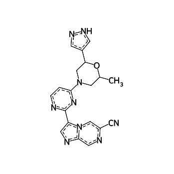 CC1CN(c2ccnc(-c3cnc4cnc(C#N)cn34)n2)CC(c2cn[nH]c2)O1